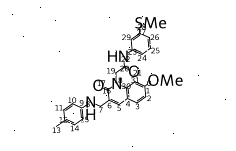 COc1ccc2cc(CNc3ccc(C)cc3)c(=O)n(CC(=O)Nc3cccc(SC)c3)c2c1